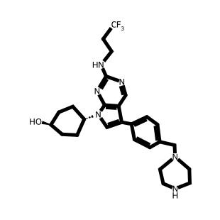 O[C@H]1CC[C@H](n2cc(-c3ccc(CN4CCNCC4)cc3)c3cnc(NCCC(F)(F)F)nc32)CC1